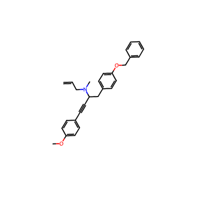 C=CCN(C)C(C#Cc1ccc(OC)cc1)Cc1ccc(OCc2ccccc2)cc1